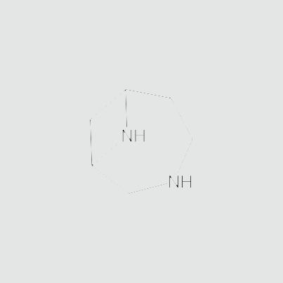 C1CC2CC(CN1)N2